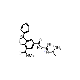 CNC(=O)c1cc(C(=O)N/C(N)=N/N(C)N)cc2c1OC[C@H]2c1ccccc1